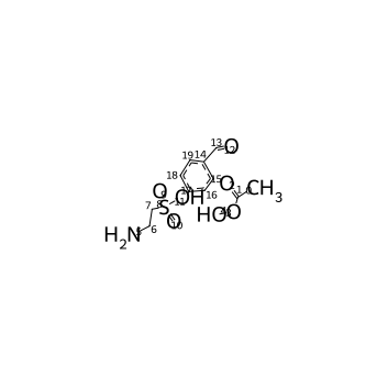 CC(=O)OO.NCCS(=O)(=O)O.O=Cc1ccccc1